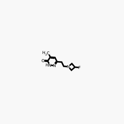 Cc1cc(CCN2CC(F)C2)n[nH]c1=O